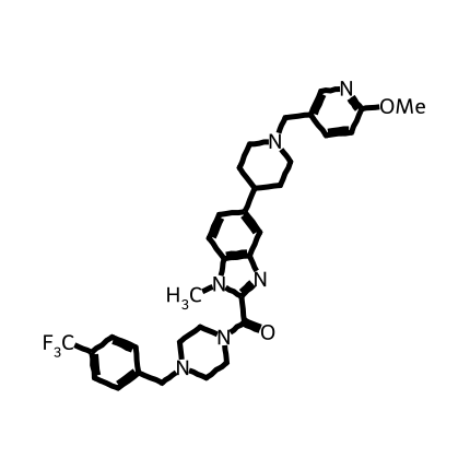 COc1ccc(CN2CCC(c3ccc4c(c3)nc(C(=O)N3CCN(Cc5ccc(C(F)(F)F)cc5)CC3)n4C)CC2)cn1